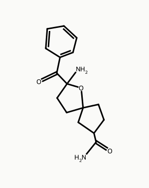 NC(=O)C1CCC2(CCC(N)(C(=O)c3ccccc3)O2)C1